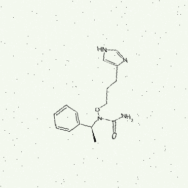 C[C@@H](c1ccccc1)N(OCCCc1c[nH]cn1)C(N)=O